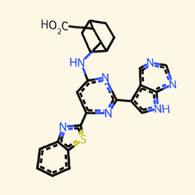 O=C(O)C1C2CCC(CC2)C1Nc1cc(-c2nc3ccccc3s2)nc(-c2c[nH]c3ncncc23)n1